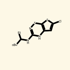 CCCCC(CC)NC1=NSc2sc(Cl)cc2N1